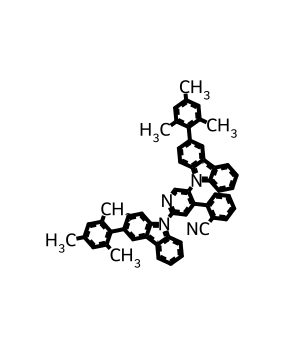 Cc1cc(C)c(-c2ccc3c(c2)c2ccccc2n3-c2cc(-c3ccccc3C#N)c(-n3c4ccccc4c4cc(-c5c(C)cc(C)cc5C)ccc43)cn2)c(C)c1